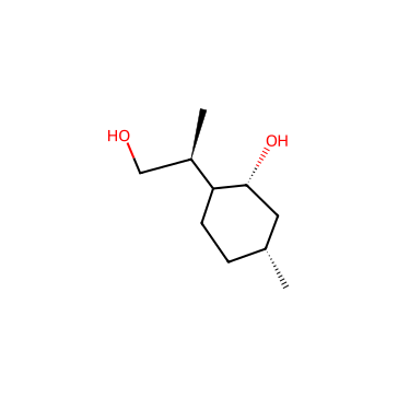 C[C@@H]1CCC([C@H](C)CO)[C@H](O)C1